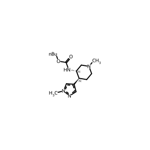 CCCCOC(=O)N[C@@H]1CN(C)CC[C@H]1c1cnn(C)c1